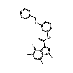 Cc1cn(C)c(=O)c2c(C(=O)Nc3cccc(OCc4ccccc4)c3)cn(C)c12